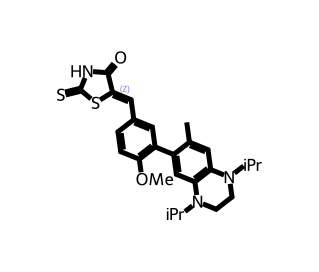 COc1ccc(/C=C2\SC(=S)NC2=O)cc1-c1cc2c(cc1C)N(C(C)C)CCN2C(C)C